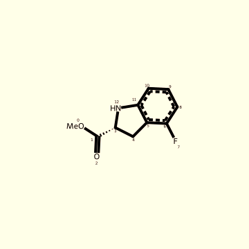 COC(=O)[C@H]1Cc2c(F)cccc2N1